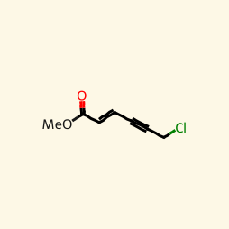 COC(=O)C=CC#CCCl